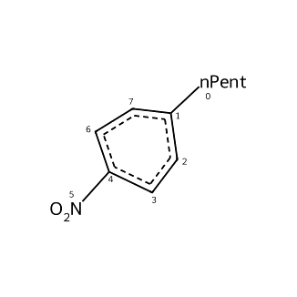 [CH2]CCCCc1ccc([N+](=O)[O-])cc1